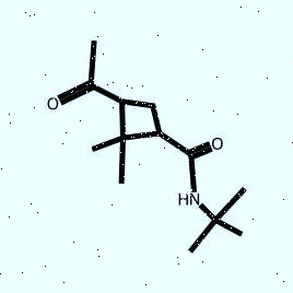 CC(=O)C1CC(C(=O)NC(C)(C)C)C1(C)C